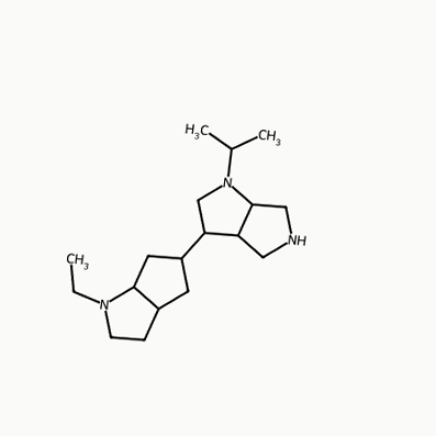 CCN1CCC2CC(C3CN(C(C)C)C4CNCC34)CC21